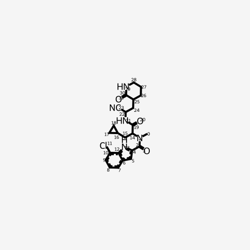 CN(C(=O)c1cc2cccc(Cl)c2[nH]1)C(CC1CC1)C(=O)NC(C#N)CC1CCCNC1=O